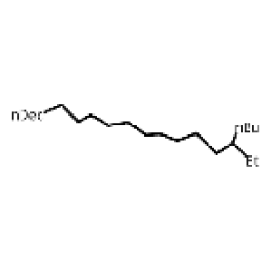 [CH2]CCCCCCCCCCCCCCCCCCCC(CC)CCC[CH2]